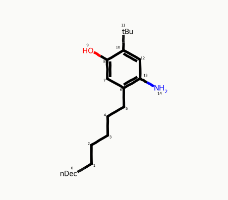 CCCCCCCCCCCCCCCc1cc(O)c(C(C)(C)C)cc1N